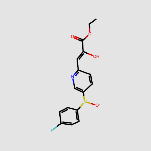 CCOC(=O)C(O)=Cc1ccc([S+]([O-])c2ccc(F)cc2)cn1